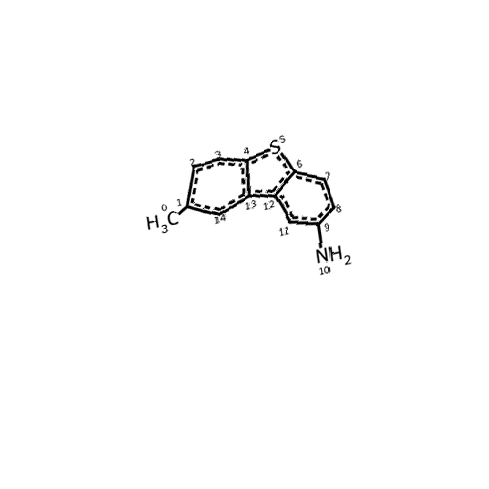 Cc1ccc2sc3ccc(N)cc3c2c1